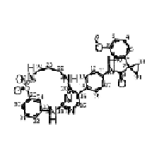 COc1cccc(C2(C(=O)Nc3ccc(-c4cnc5nc4NCCCNS(=O)(=O)c4cccc(c4)N5)cc3)CC2)c1